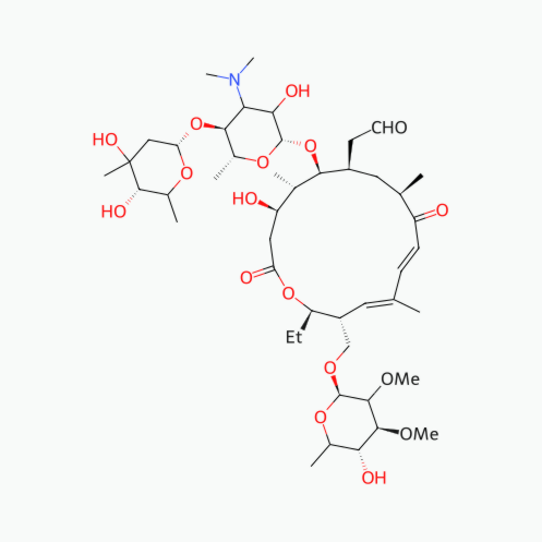 CC[C@H]1OC(=O)C[C@@H](O)[C@H](C)[C@@H](O[C@@H]2O[C@H](C)[C@@H](O[C@H]3CC(C)(O)[C@@H](O)C(C)O3)C(N(C)C)C2O)[C@@H](CC=O)C[C@@H](C)C(=O)/C=C/C(C)=C/[C@@H]1CO[C@@H]1OC(C)[C@@H](O)[C@H](OC)C1OC